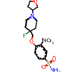 NS(=O)(=O)c1ccc(OCC2(F)CCN(C3CCOC3)CC2)c([N+](=O)[O-])c1